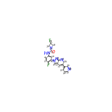 O=C(Nc1ccc(F)c(-n2cc3cc(-c4cccnc4)cnc3n2)c1)N1CC(F)C1